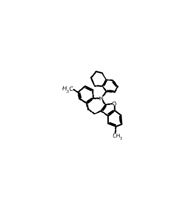 Cc1ccc2c(c1)CCc1c(oc3ccc(C)cc13)N2c1cccc2c1CCCC2